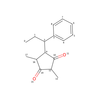 CCC(c1ccccc1)C1C(=O)C(C)C(=O)C1C